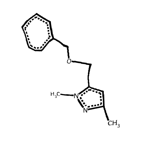 Cc1cc(COCc2ccccc2)n(C)n1